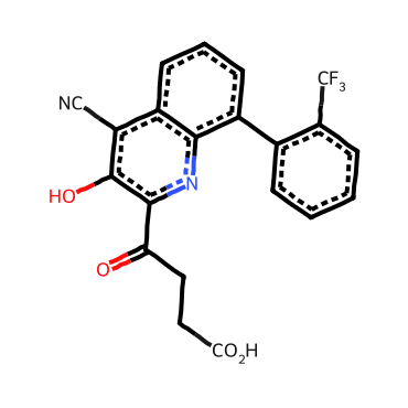 N#Cc1c(O)c(C(=O)CCC(=O)O)nc2c(-c3ccccc3C(F)(F)F)cccc12